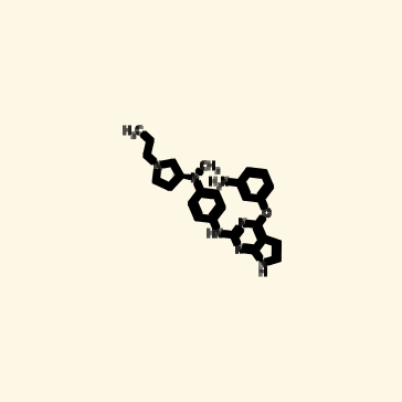 CCCN1CC[C@H](N(C)c2ccc(Nc3nc(Oc4cccc(N)c4)c4cc[nH]c4n3)cc2)C1